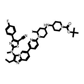 CCc1nc2ccc(-c3ccc(N4CCC(NC5CCN(C(=O)OC(C)(C)C)CC5)CC4I)nc3)cn2c1N(C)c1nc(-c2ccc(F)cc2)c(C#N)s1